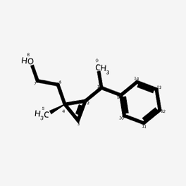 CC(C1=C[C@]1(C)CCO)c1ccccc1